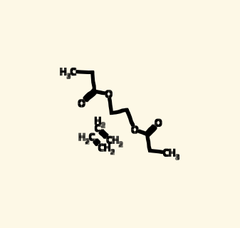 C=C.C=C.CCC(=O)OCCOC(=O)CC